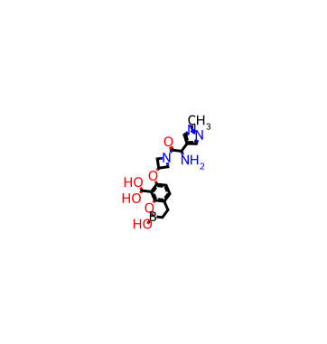 Cn1cc(C(N)C(=O)N2CC(Oc3ccc4c(c3C(O)O)OB(O)CC4)C2)cn1